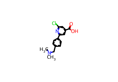 CN(C)Cc1ccc(-c2cc(C(=O)O)cc(Cl)n2)cc1